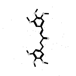 COc1cc(/C=C/C(=O)CCc2cc(OC)c(OC)c(OC)c2)cc(OC)c1OC